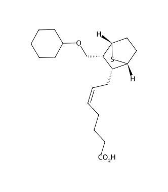 O=C(O)CCC/C=C\C[C@@H]1[C@H](COC2CCCCC2)[C@@H]2CC[C@H]1S2